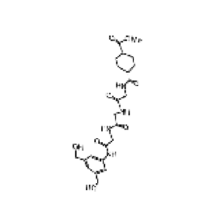 COC(=O)[C@H]1CC[C@H](C(=O)NCC(=O)NCC(=O)NCC(=O)Nc2cc(CO)cc(CO)c2)CC1